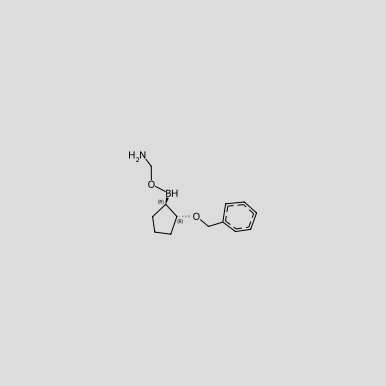 NCOB[C@@H]1CCC[C@H]1OCc1ccccc1